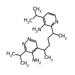 CC(C)c1ccnc(C(C)CCC(C)c2cnnc(C(C)C)c2N)c1N